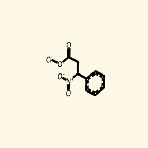 O=C(CC(c1ccccc1)[N+](=O)[O-])OCl